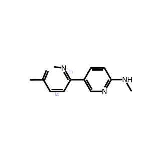 C=C(C)/C=C\C(=N/C)c1ccc(NC)nc1